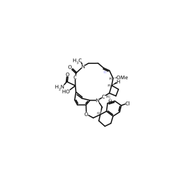 CO[C@H]1/C=C/CCN(C)C(=O)CC(O)(C(N)=O)c2ccc3c(c2)N(C[C@@H]2CC[C@H]21)C[C@@]1(CCCc2cc(Cl)ccc21)CO3